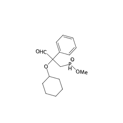 CO[PH](=O)CC(C=O)(OC1CCCCC1)c1ccccc1